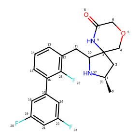 C[C@@H]1CC2(COCC(=O)N2)C(Cc2cccc(-c3cc(F)cc(F)c3)c2F)N1